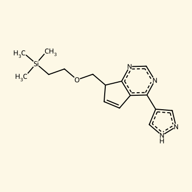 C[Si](C)(C)CCOCC1C=Cc2c(-c3cn[nH]c3)ncnc21